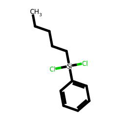 CCCCC[Si](Cl)(Cl)c1ccccc1